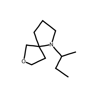 CCC(C)N1CCCC12CCOC2